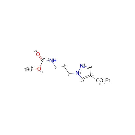 CCOC(=O)c1cnn(CCCNC(=O)OC(C)(C)C)c1